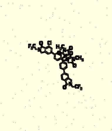 CN1C(=O)C[N+](Cc2ccc(-c3ccc4c(c3)CN(CC(F)(F)F)C4=O)cc2)([N+]2(Cc3ccc(-c4cc(Cl)c5c(c4)CN(CC(F)(F)F)C5=O)cc3)CC(=O)N(C)C2=O)C1=O